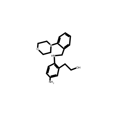 Nc1ccc(NCc2ccccc2N2CCOCC2)c(CCO)c1